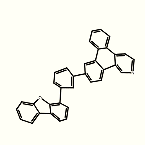 c1cc(-c2ccc3c4cnccc4c4ccccc4c3c2)cc(-c2cccc3c2oc2ccccc23)c1